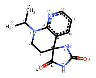 CC(C)N1CCC2(NC(=O)NC2=O)c2cccnc21